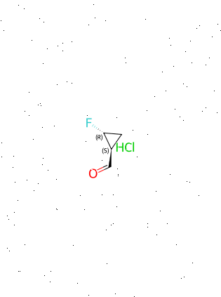 Cl.O=C[C@@H]1C[C@H]1F